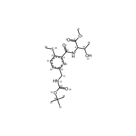 COC(=O)C(NC(=O)c1nc(CNC(=O)OC(C)(C)C)ccc1SC)C(C)O